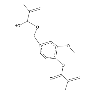 C=C(C)C(=O)Oc1ccc(COC(O)C(=C)C)cc1OC